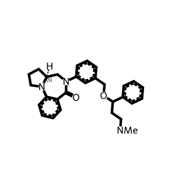 CNCCC(OCc1cccc(N2C[C@@H]3CCCN3c3ccccc3C2=O)c1)c1ccccc1